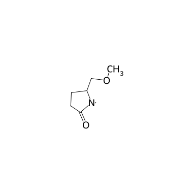 COCC1CCC(=O)[N]1